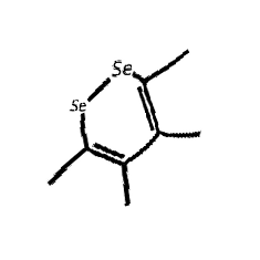 CC1=C(C)C(C)=C(C)[Se][Se]1